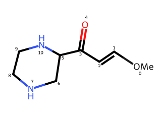 COC=CC(=O)C1CNCCN1